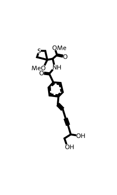 COC(=O)C(NC(=O)c1ccc(C#CC#CC(O)CO)cc1)C1(OC)CSC1